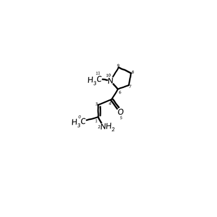 CC(N)=CC(=O)C1CCCN1C